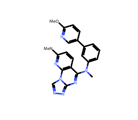 CNc1ccc2c(N(C)c3cccc(-c4ccc(OC)nc4)c3)nc3nncn3c2n1